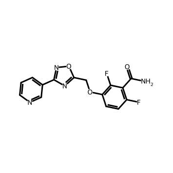 NC(=O)c1c(F)ccc(OCc2nc(-c3cccnc3)no2)c1F